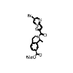 COC(=O)c1ccc2c(c1)C(C)N(C(=O)c1cc3ncc(Br)cn3n1)CC2